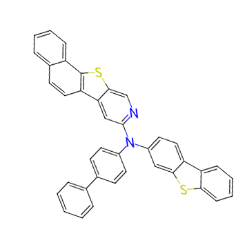 c1ccc(-c2ccc(N(c3ccc4c(c3)sc3ccccc34)c3cc4c(cn3)sc3c5ccccc5ccc43)cc2)cc1